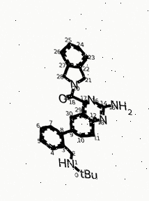 CC(C)(C)NCc1ccccc1-c1ccc2nc(N)nc(C(=O)N3Cc4ccccc4C3)c2c1